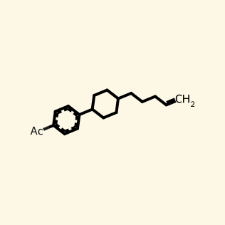 C=CCCCC1CCC(c2ccc(C(C)=O)cc2)CC1